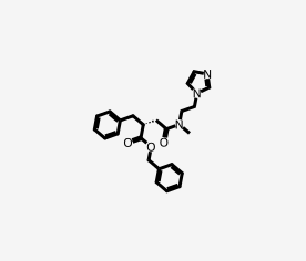 CN(CCn1ccnc1)C(=O)C[C@@H](Cc1ccccc1)C(=O)OCc1ccccc1